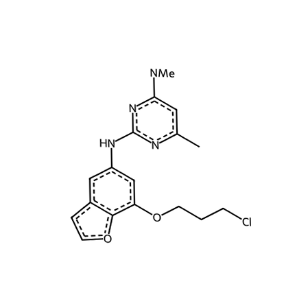 CNc1cc(C)nc(Nc2cc(OCCCCl)c3occc3c2)n1